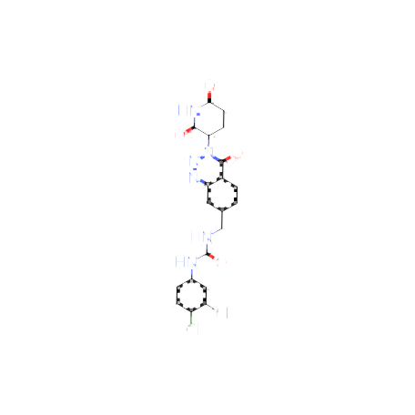 O=C1CCC(n2nnc3cc(CNC(=O)Nc4ccc(Cl)c(Cl)c4)ccc3c2=O)C(=O)N1